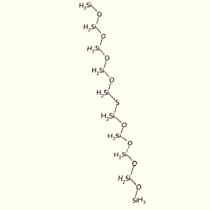 [SiH3]O[SiH2]O[SiH2]O[SiH2]O[SiH2]S[SiH2]O[SiH2]O[SiH2]O[SiH2]O[SiH3]